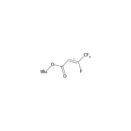 CC(C)(C)OC(=O)/C=C(\F)C(F)(F)F